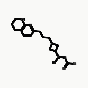 CCC(=O)ON(CC)C1CN(CCCc2ccc3c(n2)NCCC3)C1